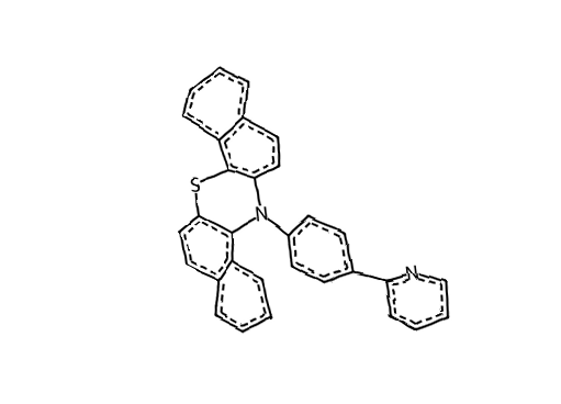 c1ccc(-c2ccc(N3c4ccc5ccccc5c4Sc4ccc5ccccc5c43)cc2)nc1